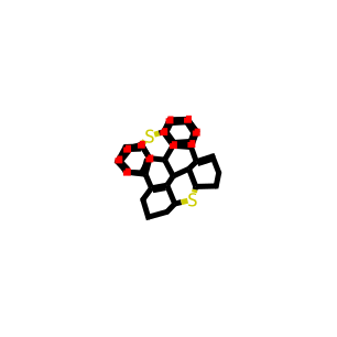 C1=CC2Sc3ccccc3C(C3C4=C(c5ccccc5)CCCC4SC4CCC=C(c5ccccc5)C43)C2CC1